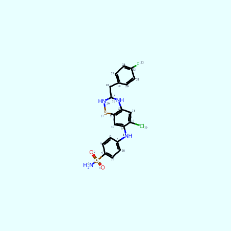 NS(=O)(=O)c1ccc(Nc2cc3c(cc2Cl)NC(Cc2ccc(F)cc2)NS3)cc1